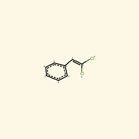 ClC(Cl)=Cc1cc[c]cc1